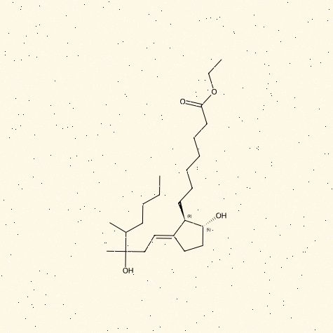 CCCCC(C)C(C)(O)CC=C1CC[C@@H](O)[C@@H]1CCCCCCC(=O)OCC